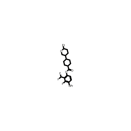 CCCc1ccc(OC(=O)C2CCC(C3CCC(CC)OC3)CC2)c(C(F)F)c1F